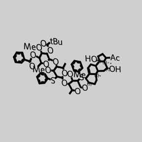 COC1C(OC(=O)c2ccccc2)C(C)OC(OC2C(C)OC(OC3C(C)OC(O[C@H]4CC[C@@]5(C)C(=CCC6C5C[C@@H](O)[C@]5(C)C(C(C)=O)CC[C@]65O)C4)C(Sc4ccccc4)C3OC)C(Sc3ccccc3)C2OC)C1OC(=O)C(C)(C)C